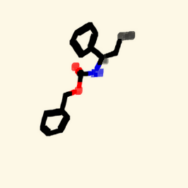 O=CC[C@@H](NC(=O)OCc1ccccc1)c1ccccc1